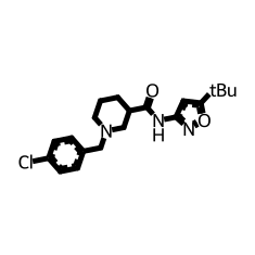 CC(C)(C)c1cc(NC(=O)C2CCCN(Cc3ccc(Cl)cc3)C2)no1